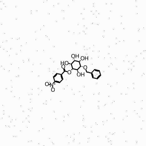 O=C(O[C@@H]1[C@H](O)[C@@H](OCc2ccccc2)[C@H](O)[C@@H](O)[C@@H]1O)c1ccc([N+](=O)[O-])cc1